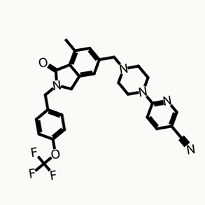 Cc1cc(CN2CCN(c3ccc(C#N)cn3)CC2)cc2c1C(=O)N(Cc1ccc(OC(F)(F)F)cc1)C2